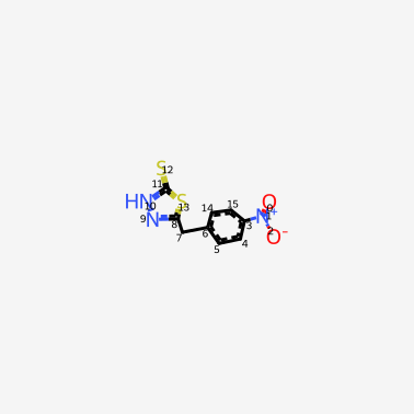 O=[N+]([O-])c1ccc(Cc2n[nH]c(=S)s2)cc1